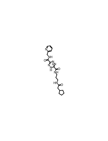 O=C(CC1CCCC1)NCCCNC(=O)C1=NNC(C(=O)NCc2ccccn2)=NN1